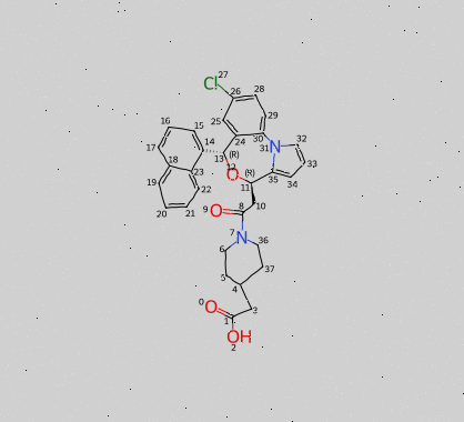 O=C(O)CC1CCN(C(=O)C[C@H]2O[C@H](c3cccc4ccccc34)c3cc(Cl)ccc3-n3cccc32)CC1